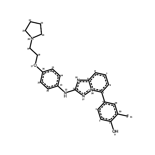 Oc1ccc(-c2cccc3nc(Nc4ccc(OCCN5CCCC5)cc4)nn23)cc1F